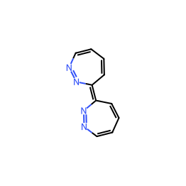 C1=CN=NC(=C2C=CC=CN=N2)C=C1